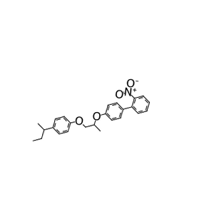 CCC(C)c1ccc(OCC(C)Oc2ccc(-c3ccccc3[N+](=O)[O-])cc2)cc1